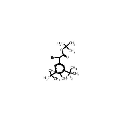 CC(C)(C)OC(=O)C(Br)c1cc(C(C)(C)C)c(O)c(C(C)(C)C)c1